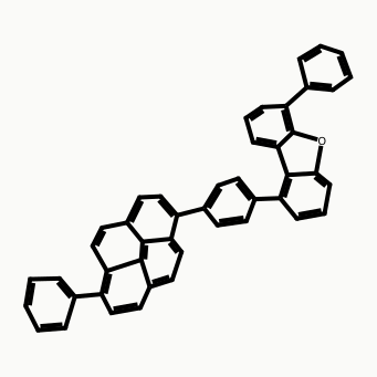 c1ccc(-c2ccc3ccc4c(-c5ccc(-c6cccc7oc8c(-c9ccccc9)cccc8c67)cc5)ccc5ccc2c3c54)cc1